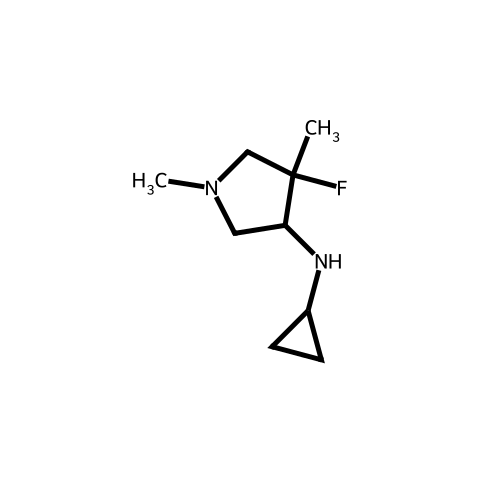 CN1CC(NC2CC2)C(C)(F)C1